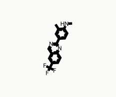 CNc1ccc(-c2ncc3cc(C(F)(F)F)ccc3n2)cc1C